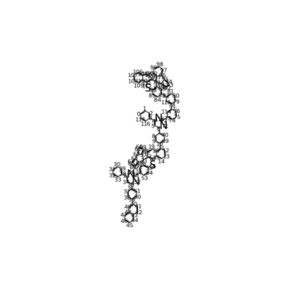 c1ccc(-c2cc(-c3ccc(-c4cccc5c6c(ccc45)C4(c5cc(-c7nc(-c8ccccc8)cc(-c8ccc(-c9ccc%10ccccc%10c9)cc8)n7)ccc5S6)c5ccccc5-c5ccccc54)cc3)nc(-c3cccc(-c4cccc(-c5ccc6c(c5)C5(c7ccccc7-c7ccccc75)c5ccc7ccccc7c5S6)c4)c3)n2)cc1